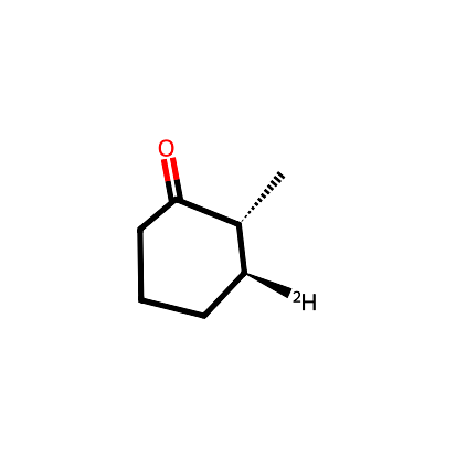 [2H][C@H]1CCCC(=O)[C@@H]1C